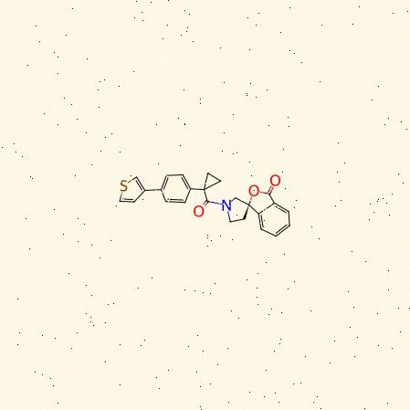 O=C1O[C@]2(CCN(C(=O)C3(c4ccc(-c5ccsc5)cc4)CC3)C2)c2ccccc21